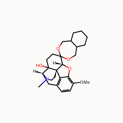 COc1ccc2c3c1O[C@H]1C4(CCC5(O)[C@@H](C2)N(C)CC[C@]315)OCC1CCCCC1CO4